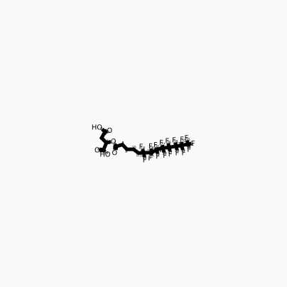 O=C(O)CC(OC(=O)CCCCC(F)(F)C(F)(F)C(F)(F)C(F)(F)C(F)(F)C(F)(F)C(F)(F)C(F)(F)F)C(=O)O